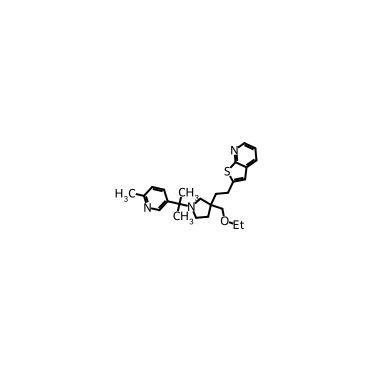 CCOCC1(CCc2cc3cccnc3s2)CCN(C(C)(C)c2ccc(C)nc2)C1